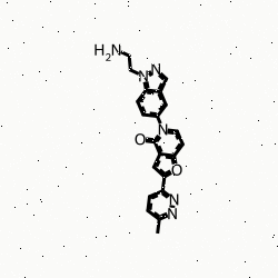 Cc1ccc(-c2cc3c(=O)n(-c4ccc5c(cnn5CCN)c4)ccc3o2)nn1